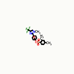 Cc1ccc(S(=O)(=O)OC23CCC(c4nc(C(F)(F)F)cn4C)(CC2)OC3)c(C)c1